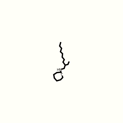 CCCCCCCCC(CC)CNC1CCCCCCC1